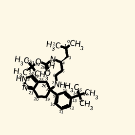 CC(C)C[C@@H](CCNC1(c2cccc(C(C)(C)C)c2)CCc2n[nH]cc2C1)NC(=O)OC(C)(C)C